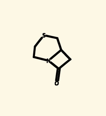 O=C1CC2CSCCN12